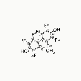 O.Oc1c(F)c(F)c(-c2c(F)c(F)c(O)c(F)c2F)c(F)c1F